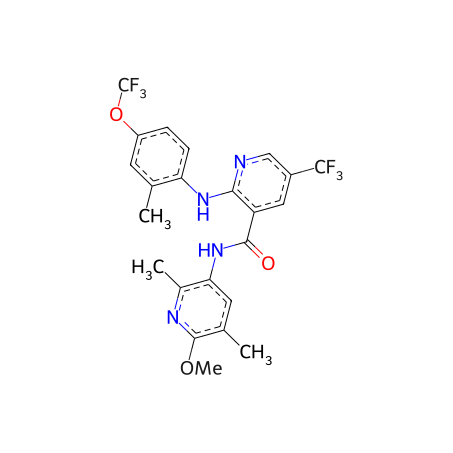 COc1nc(C)c(NC(=O)c2cc(C(F)(F)F)cnc2Nc2ccc(OC(F)(F)F)cc2C)cc1C